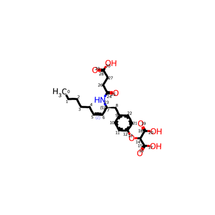 CCCCC/C=C\[C@H](Cc1ccc(OC(C(=O)O)C(=O)O)cc1)NC(=O)CCC(=O)O